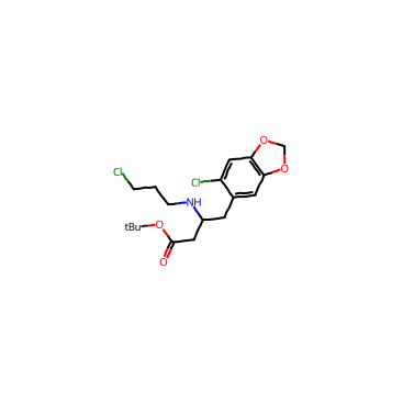 CC(C)(C)OC(=O)CC(Cc1cc2c(cc1Cl)OCO2)NCCCCl